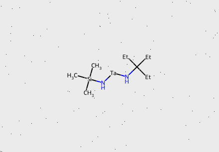 CCC(CC)(CC)[NH][Ta][NH][Si](C)(C)C